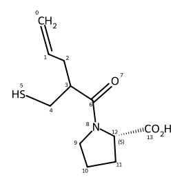 C=CCC(CS)C(=O)N1CCC[C@H]1C(=O)O